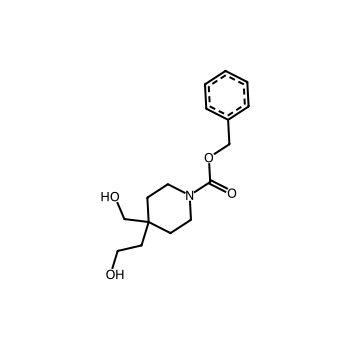 O=C(OCc1ccccc1)N1CCC(CO)(CCO)CC1